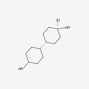 CCCC1CCC([C@H]2CC[C@](CC)(CCC)CC2)CC1